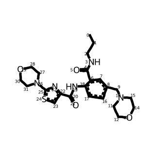 CCCNC(=O)c1cc(CN2CCOCC2)ccc1NC(=O)c1csc(N2CCOCC2)n1